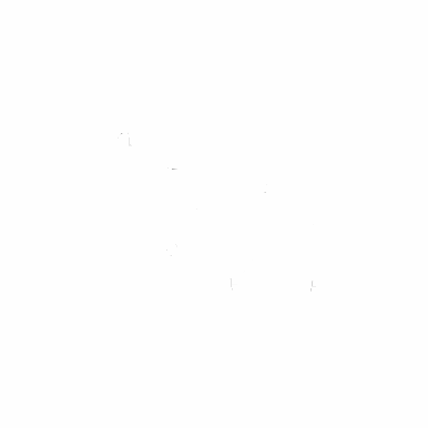 O=C(CCCl)c1cccc(F)c1F